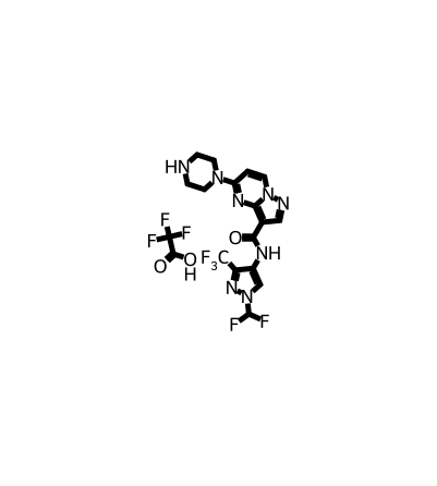 O=C(Nc1cn(C(F)F)nc1C(F)(F)F)c1cnn2ccc(N3CCNCC3)nc12.O=C(O)C(F)(F)F